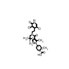 Cc1c(C(=O)N(CCc2c(Cl)c[nH]c(=O)c2Cl)CC(C)(C)C)cnn1[C@@H]1CC[C@@H](C(=O)O)[C@@H](C)C1